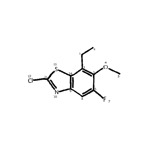 CCc1c(OC)c(F)cc2nc(Cl)sc12